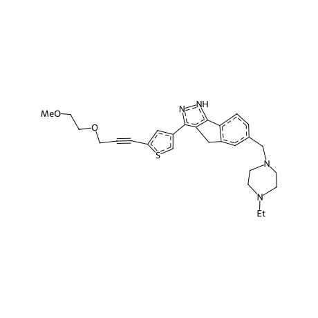 CCN1CCN(Cc2ccc3c(c2)Cc2c(-c4csc(C#CCOCCOC)c4)n[nH]c2-3)CC1